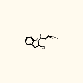 C=CCN[C@@H]1c2ccccc2CC1Cl